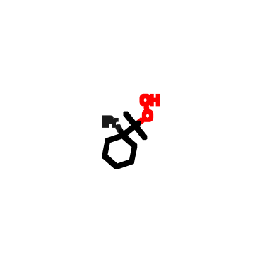 CC(C)C1(C(C)(C)OO)CCCCC1